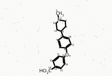 CN1CCC(c2ccc(Oc3ccc(C(=O)O)cc3)cc2)CC1